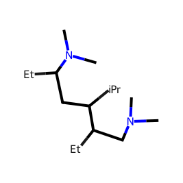 CCC(CN(C)C)C(CC(CC)N(C)C)C(C)C